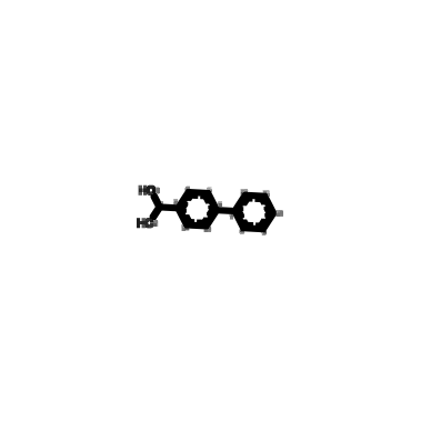 OC(O)c1ccc(-c2ccccc2)cc1